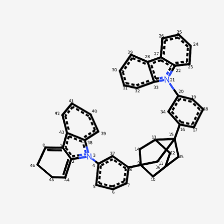 C1=c2c(n(-c3cccc(C45CC6CC(C4)C(c4cccc(-n7c8ccccc8c8ccccc87)c4)(C6)C5)c3)c3ccccc23)=CCC1